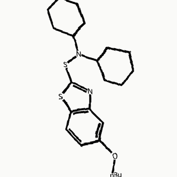 CCCCOc1ccc2sc(SN(C3CCCCC3)C3CCCCC3)nc2c1